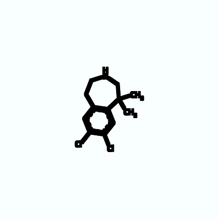 CC1(C)CNCCc2cc(Cl)c(Cl)cc21